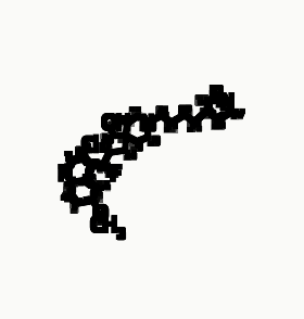 COc1ccc2ncc(Cl)c([C@@H](F)CCC3(CO)CCN(CCCCc4ccncc4)CC3)c2c1